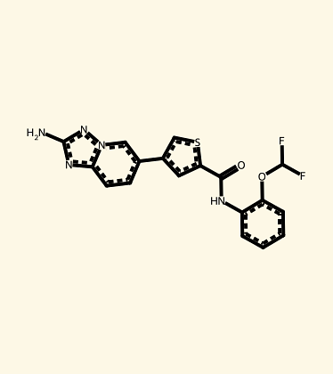 Nc1nc2ccc(-c3csc(C(=O)Nc4ccccc4OC(F)F)c3)cn2n1